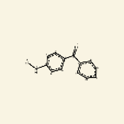 CCNc1ccc(C(=O)c2ccccc2)cc1